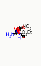 CCOC(=O)[C@H](CCc1ccccc1)N[C@@H](CCCCN)C(=O)N1CCC[C@]1(C(=O)OCCCCO[N+](=O)[O-])C(=O)OC(C)(C)C